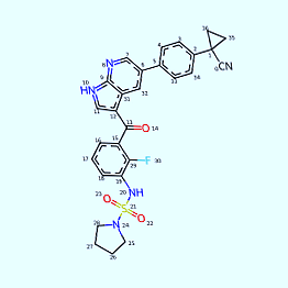 N#CC1(c2ccc(-c3cnc4[nH]cc(C(=O)c5cccc(NS(=O)(=O)N6CCCC6)c5F)c4c3)cc2)CC1